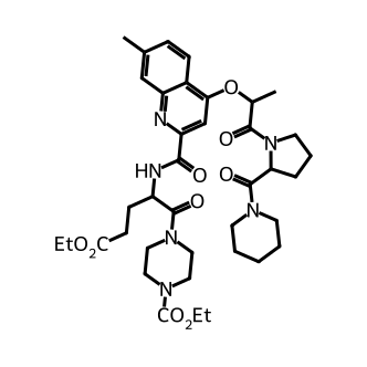 CCOC(=O)CCC(NC(=O)c1cc(OC(C)C(=O)N2CCCC2C(=O)N2CCCCC2)c2ccc(C)cc2n1)C(=O)N1CCN(C(=O)OCC)CC1